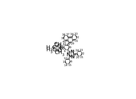 CC1(C)OB(c2cc(-c3nc(-c4ccccc4)nc(-c4ccccc4)n3)cc(-c3cc4ccccc4c4ccccc34)c2)OC1(C)C